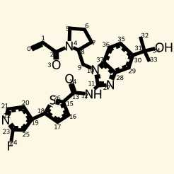 C=CC(=O)N1CCCC1Cn1c(NC(=O)c2ccc(-c3ccnc(F)c3)s2)nc2cc(C(C)(C)O)ccc21